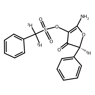 [2H]C([2H])(c1ccccc1)S(=O)(=O)OC1=C(N)O[C@@]([2H])(c2ccccc2)C1=O